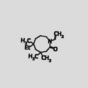 C=CN1CCCC(C)(CC)CC(C)(C)CC1=O